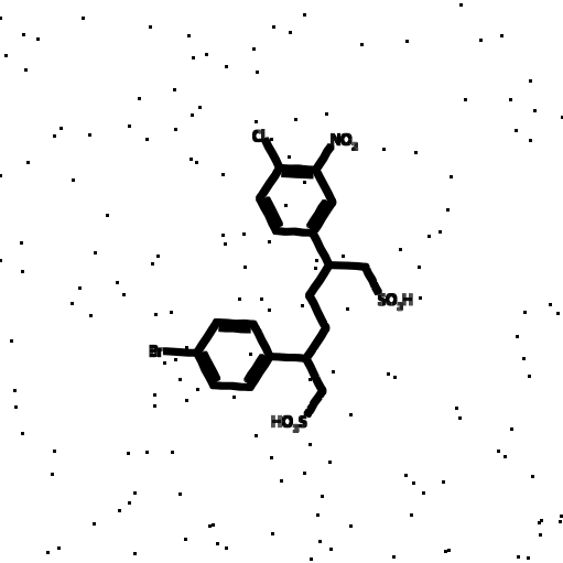 O=[N+]([O-])c1cc(C(CCC(CS(=O)(=O)O)c2ccc(Br)cc2)CS(=O)(=O)O)ccc1Cl